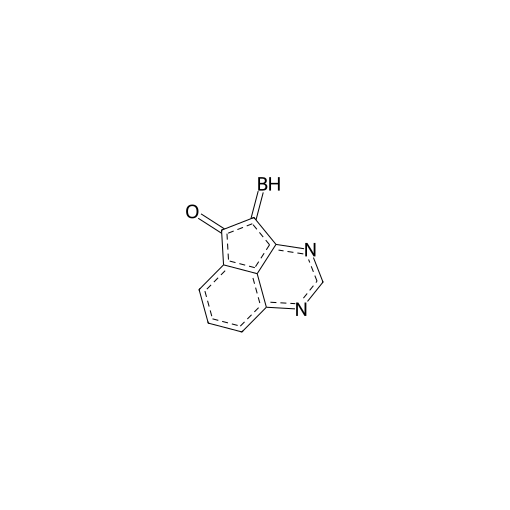 B=c1c(=O)c2cccc3ncnc1c32